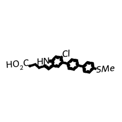 CSc1ccc(-c2ccc(-c3cc4cc(CCCC(=O)O)[nH]c4cc3Cl)cc2)cc1